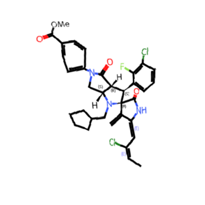 C=C1/C(=C\C(Cl)=C/C)NC(=O)[C@@]12[C@H](c1cccc(Cl)c1F)[C@H]1C(=O)N(c3ccc(C(=O)OC)cc3)C[C@H]1N2CC1CCCC1